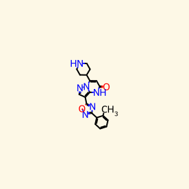 Cc1ccccc1-c1noc(-c2cnn3c(C4CCNCC4)cc(=O)[nH]c23)n1